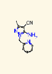 Cc1nn(Cc2ccccn2)c(N)c1C#N